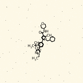 CCn1cc(-c2ccc(-c3cc(C(=O)NC4CCOCC4)c(C)n3CC3CCCCC3)cc2C(C)(C)C)cn1